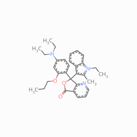 CCCOc1cc(N(CC)CC)ccc1C1(c2c(C)n(CC)c3ccccc23)OC(=O)c2cccnc21